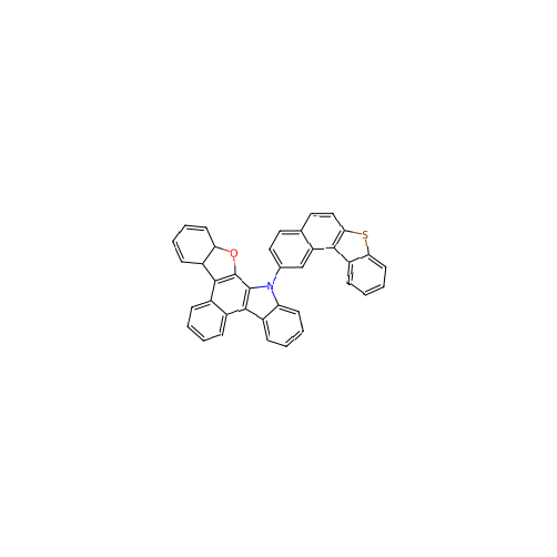 C1=CC2Oc3c(c4ccccc4c4c5ccccc5n(-c5ccc6ccc7sc8ccccc8c7c6c5)c34)C2C=C1